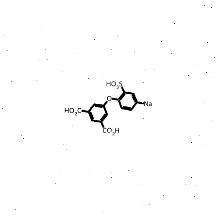 O=C(O)c1cc(Oc2cc[c]([Na])cc2S(=O)(=O)O)cc(C(=O)O)c1